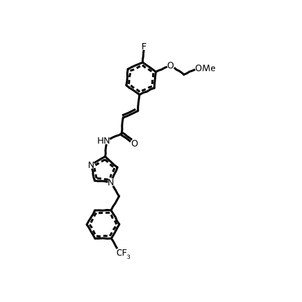 COCOc1cc(/C=C/C(=O)Nc2cn(Cc3cccc(C(F)(F)F)c3)cn2)ccc1F